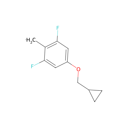 [CH2]c1c(F)cc(OCC2CC2)cc1F